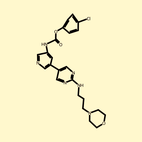 O=C(Nc1cncc(-c2cnc(NCCCN3CCOCC3)nc2)c1)Oc1ccc(Cl)cc1